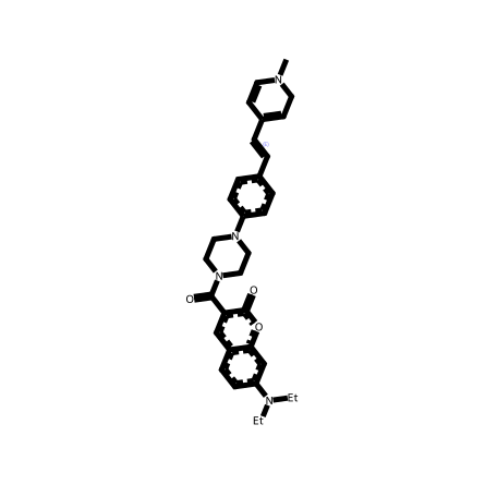 CCN(CC)c1ccc2cc(C(=O)N3CCN(c4ccc(/C=C/C5=CCN(C)C=C5)cc4)CC3)c(=O)oc2c1